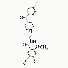 COc1cc(Cl)c(C#N)cc1C(=O)NCCN1CCC(C(=O)c2ccc(F)cc2)CC1